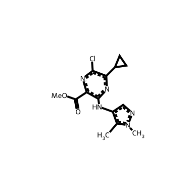 COC(=O)c1nc(Cl)c(C2CC2)nc1Nc1cnn(C)c1C